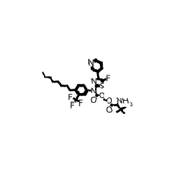 CCCCCCCCc1ccc(N(C(=O)OCOC(=O)C(N)C(C)(C)C)c2nc(-c3cccnc3)c(F)s2)cc1C(F)(F)F